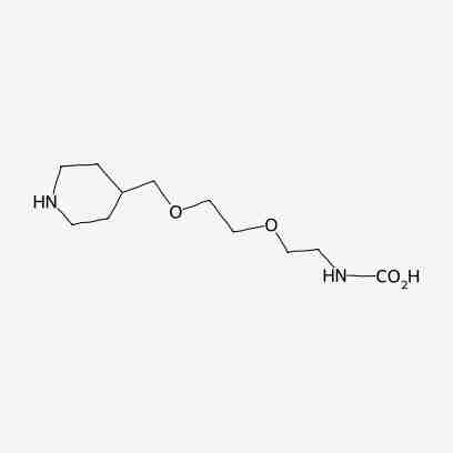 O=C(O)NCCOCCOCC1CCNCC1